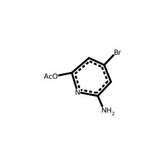 CC(=O)Oc1cc(Br)cc(N)n1